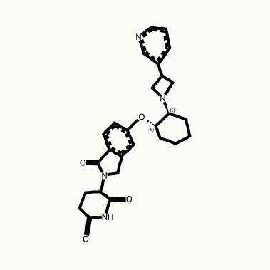 O=C1CCC(N2Cc3cc(O[C@H]4CCCC[C@@H]4N4CC(c5cccnc5)C4)ccc3C2=O)C(=O)N1